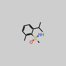 Cc1cccc(C(C)C)c1[S@](C)(=N)=O